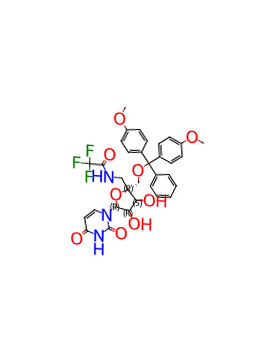 COc1ccc(C(OC[C@@]2(CNC(=O)C(F)(F)F)O[C@@H](n3ccc(=O)[nH]c3=O)[C@H](O)[C@@H]2O)(c2ccccc2)c2ccc(OC)cc2)cc1